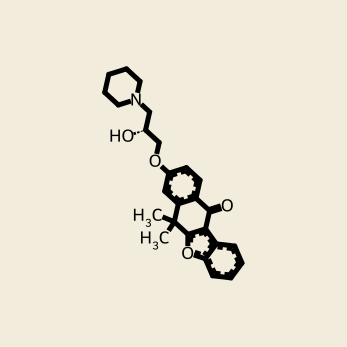 CC1(C)c2cc(OC[C@H](O)CN3CCCCC3)ccc2C(=O)c2c1oc1ccccc21